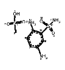 CS(=O)(=O)O.Nc1ccc(N)c(S(N)(=O)=O)c1